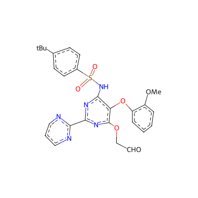 COc1ccccc1Oc1c(NS(=O)(=O)c2ccc(C(C)(C)C)cc2)nc(-c2ncccn2)nc1OCC=O